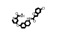 CNC(=O)c1cc(Oc2ccc3c(c2)CC(NC(=O)c2cc4cc(Cl)ccc4o2)CC3)ccn1